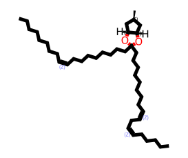 CCCCC/C=C\C/C=C\CCCCCCCCC1(CCCCCCCC/C=C\CCCCCCCC)O[C@H]2C[C@H](C)C[C@H]2O1